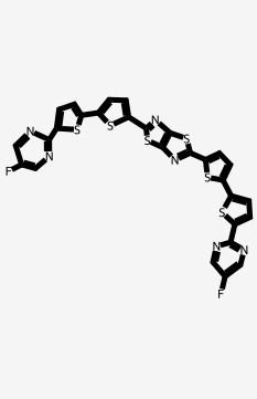 Fc1cnc(-c2ccc(-c3ccc(-c4nc5sc(-c6ccc(-c7ccc(-c8ncc(F)cn8)s7)s6)nc5s4)s3)s2)nc1